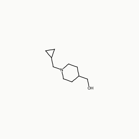 OCC1CCN(CC2CC2)CC1